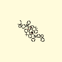 C=Cc1c(C)oc2ccc(N(c3ccccc3)c3cc4c(s3)C3(c5ccccc5C(C)(C)c5ccccc53)c3cc(N(c5ccccc5)c5ccc6oc7ccccc7c6c5)sc3C43c4ccccc4C(C)(C)c4ccccc43)cc12